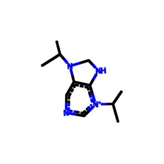 CC(C)N1CNc2c1cnc[n+]2C(C)C